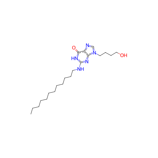 CCCCCCCCCCCCNc1nc2c(ncn2CCCCO)c(=O)[nH]1